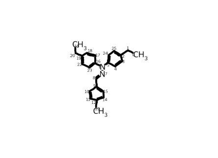 CCc1ccc(N(/N=C/c2ccc(C)cc2)c2ccc(CC)cc2)cc1